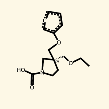 CCOC[C@]1(COc2ccccc2)CCN(C(=O)O)C1